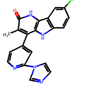 Cc1c(-c2ccnc(-n3ccnc3)c2)c2[nH]c3ccc(Cl)cc3c2[nH]c1=O